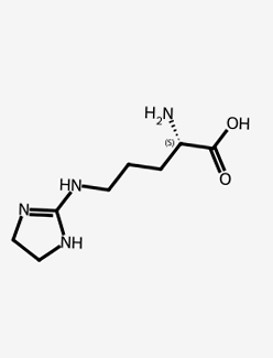 N[C@@H](CCCNC1=NCCN1)C(=O)O